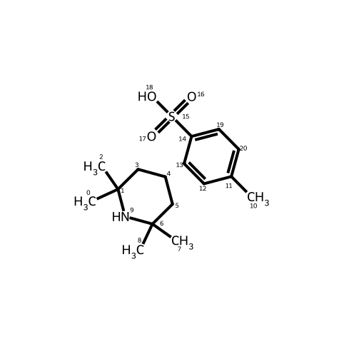 CC1(C)CCCC(C)(C)N1.Cc1ccc(S(=O)(=O)O)cc1